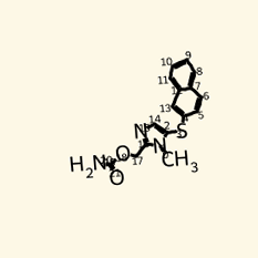 Cn1c(Sc2ccc3ccccc3c2)cnc1COC(N)=O